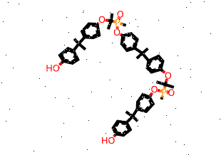 CC(C)(c1ccc(O)cc1)c1ccc(OC(C)(C)P(C)(=O)Oc2ccc(C(C)(C)c3ccc(OC(C)(C)P(C)(=O)Oc4ccc(C(C)(C)c5ccc(O)cc5)cc4)cc3)cc2)cc1